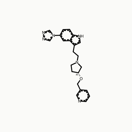 c1cncc(CO[C@@H]2CCN(CCc3c[nH]c4ccc(-n5cnnc5)cc34)C2)c1